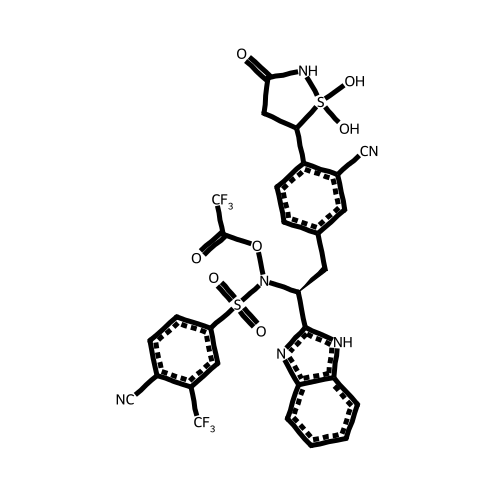 N#Cc1cc(C[C@@H](c2nc3ccccc3[nH]2)N(OC(=O)C(F)(F)F)S(=O)(=O)c2ccc(C#N)c(C(F)(F)F)c2)ccc1C1CC(=O)NS1(O)O